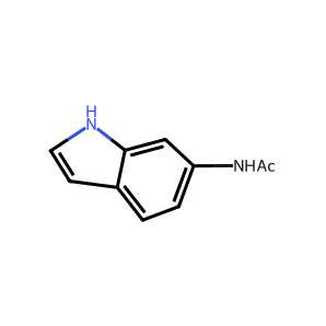 CC(=O)Nc1ccc2cc[nH]c2c1